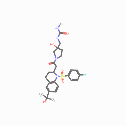 CCNC(=O)NCC1(O)CCN(C(=O)CC2CCc3cc(C(O)(C(F)(F)F)C(F)(F)F)ccc3N2S(=O)(=O)c2ccc(F)cc2)C1